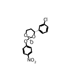 O=[N+]([O-])c1ccc(OP2(=O)OCC[C@H](c3cccc(Cl)c3)O2)cc1